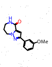 COc1cccc(-c2cc3n(n2)CCCNC3=O)c1